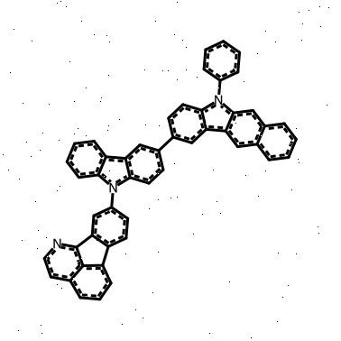 c1ccc(-n2c3ccc(-c4ccc5c(c4)c4ccccc4n5-c4ccc5c(c4)-c4nccc6cccc-5c46)cc3c3cc4ccccc4cc32)cc1